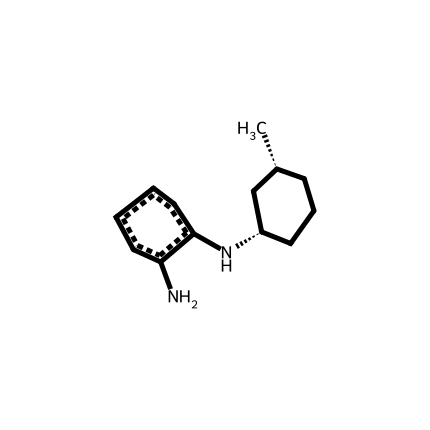 C[C@@H]1CCC[C@H](Nc2ccccc2N)C1